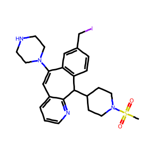 CS(=O)(=O)N1CCC(C2c3ccc(CI)cc3C(N3CCNCC3)=Cc3cccnc32)CC1